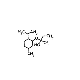 CCC(O)(O)OC1CC(C)CCC1C(C)C